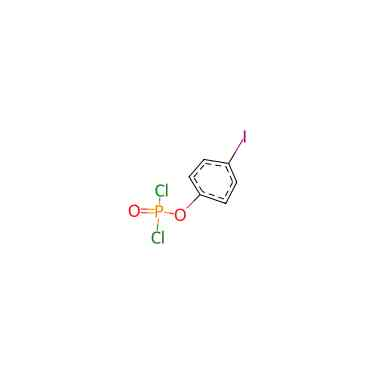 O=P(Cl)(Cl)Oc1ccc(I)cc1